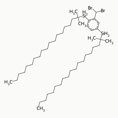 CCCCCCCCCCCCCCCCCC(C)(C)[SiH2]c1ccc([SiH2]C(C)(C)CCCCCCCCCCCCCCCCC)c(C(Br)Br)c1